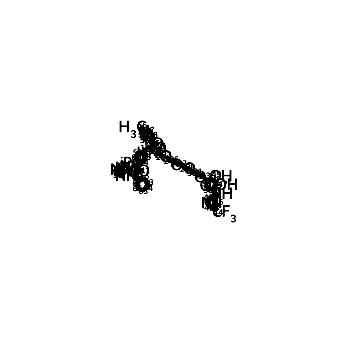 CC(C)n1nccc1C(=O)N[C@H](C(=O)Nc1ccc(C[C@@H](NC(=O)COCCOCCOCCOC[C@H]2OC[C@H](Nc3cncc(C(F)(F)F)n3)[C@@H](O)[C@H]2O)C(=O)N2CCN(C)CC2)cc1)C1CCCCCC1